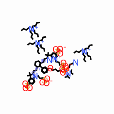 CC(C)N(C(C)C)P(OCCC#N)OCCCCOc1cccc(C2=C(/C=C/C3=Nc4c(cc(S(=O)(=O)[O-])c[n+]4CCCS(=O)(=O)[O-])C3(C)C)CCC/C2=C\C=C2/N(CCCS(=O)(=O)[O-])c3ccc(S(=O)(=O)[O-])cc3C2(C)C)c1.CCCC[N+](CCCC)(CCCC)CCCC.CCCC[N+](CCCC)(CCCC)CCCC.CCCC[N+](CCCC)(CCCC)CCCC